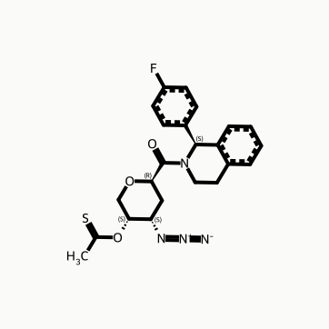 CC(=S)O[C@@H]1CO[C@@H](C(=O)N2CCc3ccccc3[C@@H]2c2ccc(F)cc2)C[C@@H]1N=[N+]=[N-]